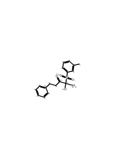 Cc1cccc(S(=O)(=O)C(N)(Cl)C(=O)CCc2ccccc2)c1